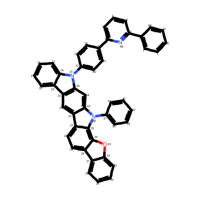 c1ccc(-c2cccc(-c3ccc(-n4c5ccccc5c5cc6c7ccc8c9ccccc9oc8c7n(-c7ccccc7)c6cc54)cc3)n2)cc1